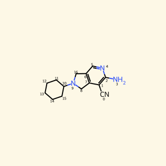 N#Cc1c(N)ncc2c1CN(C1CCCCC1)C2